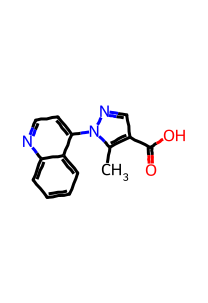 Cc1c(C(=O)O)cnn1-c1ccnc2ccccc12